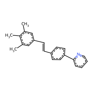 Cc1cc(/C=C/c2ccc(-c3ccccn3)cc2)cc(C)c1C